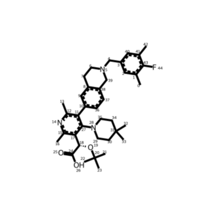 Cc1cc(CN2CCc3cc(-c4c(C)nc(C)c([C@H](OC(C)(C)C)C(=O)O)c4N4CCC(C)(C)CC4)ccc3C2)cc(C)c1F